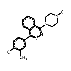 Cc1ccc(-c2nnc(N3CCN(C)CC3)c3ccccc23)cc1C